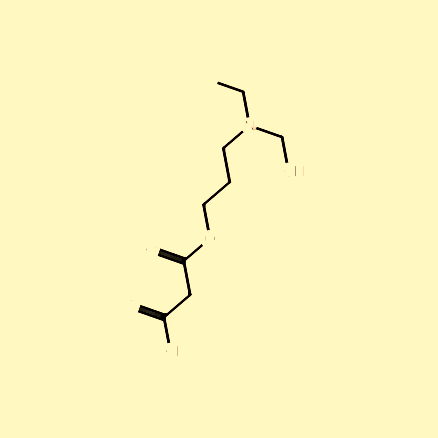 CCN(CC)CCCOC(=O)CC(C)=O